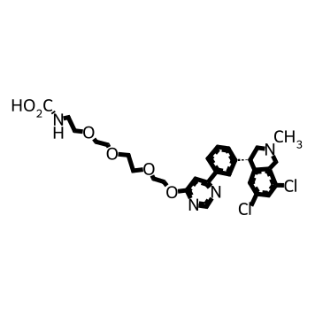 CN1Cc2c(Cl)cc(Cl)cc2[C@H](c2cccc(-c3cc(OCCOCCOCCOCCNC(=O)O)ncn3)c2)C1